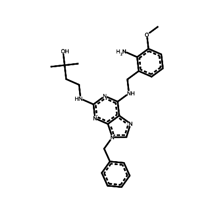 COc1cccc(CNc2nc(NCCC(C)(C)O)nc3c2ncn3Cc2ccccc2)c1N